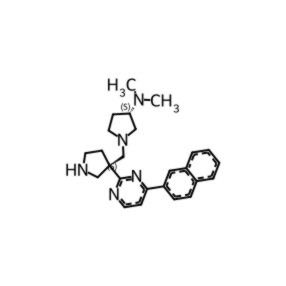 CN(C)[C@H]1CCN(C[C@]2(c3nccc(-c4ccc5ccccc5c4)n3)CCNC2)C1